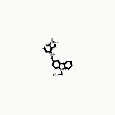 CCn1c2ccccc2c2cc(CNc3ccnc4[nH]ncc34)ccc21